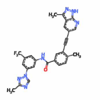 Cc1ncn(-c2cc(NC(=O)c3ccc(C)c(C#Cc4cnc5[nH]nc(C)c5c4)c3)cc(C(F)(F)F)c2)n1